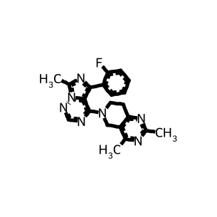 Cc1nc(C)c2c(n1)CCN(c1ncnn3c(C)nc(-c4ccccc4F)c13)C2